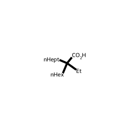 CCCCCCCC(CC)(CCCCCC)C(=O)O